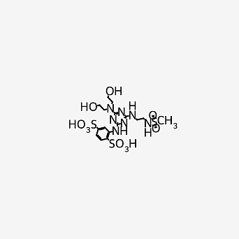 CS(=O)(=O)NCCNc1nc(Nc2cc(S(=O)(=O)O)ccc2S(=O)(=O)O)nc(N(CCO)CCO)n1